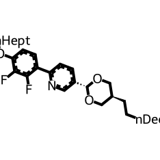 CCCCCCCCCCCC[C@H]1CO[C@H](c2ccc(-c3ccc(OCCCCCCC)c(F)c3F)nc2)OC1